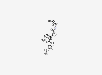 Cc1c(CC(=O)N(C)C)ccc(NC(=O)c2nn([C@@H]3CCCN(C(=O)/C=C/CN(C)C(=O)OC(C)(C)C)C3)c3ncnc(N)c23)c1C